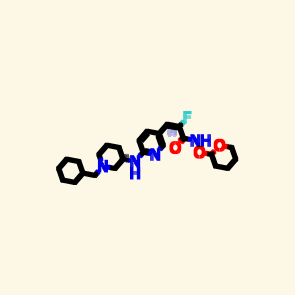 O=C(NOC1CCCCO1)/C(F)=C\c1ccc(N[C@@H]2CCCN(CC3CCCCC3)C2)nc1